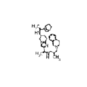 C=C(NCC(C)CN1CCc2ccccc2C1)c1cn2c(n1)CCC(NC(=C)C1CC3CCC1C3)C2